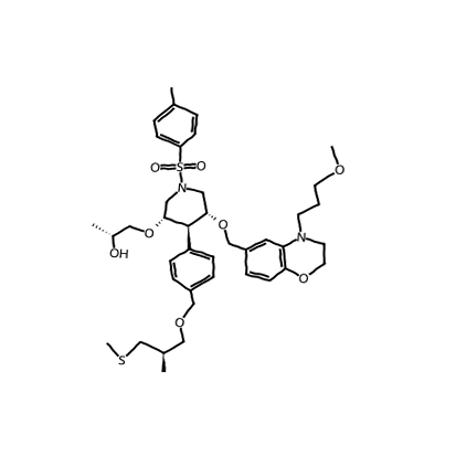 COCCCN1CCOc2ccc(CO[C@H]3CN(S(=O)(=O)c4ccc(C)cc4)C[C@@H](OC[C@@H](C)O)[C@@H]3c3ccc(COC[C@@H](C)CSC)cc3)cc21